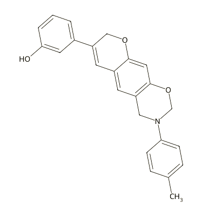 Cc1ccc(N2COc3cc4c(cc3C2)C=C(c2cccc(O)c2)CO4)cc1